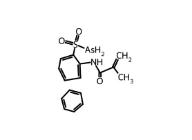 C=C(C)C(=O)Nc1ccccc1S(=O)(=O)[AsH2].c1ccccc1